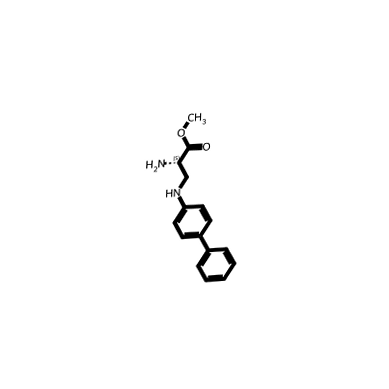 COC(=O)[C@@H](N)CNc1ccc(-c2ccccc2)cc1